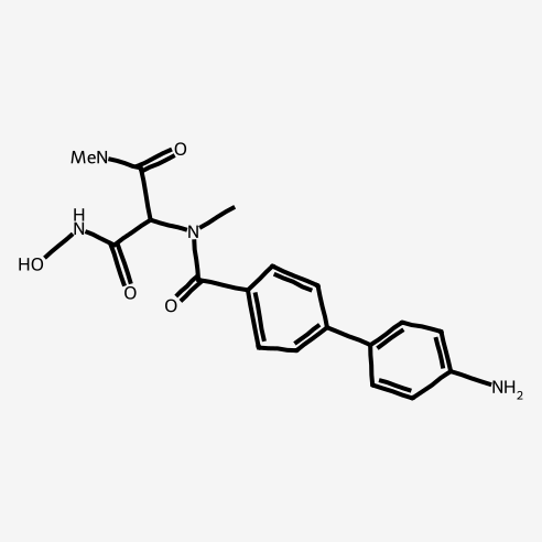 CNC(=O)C(C(=O)NO)N(C)C(=O)c1ccc(-c2ccc(N)cc2)cc1